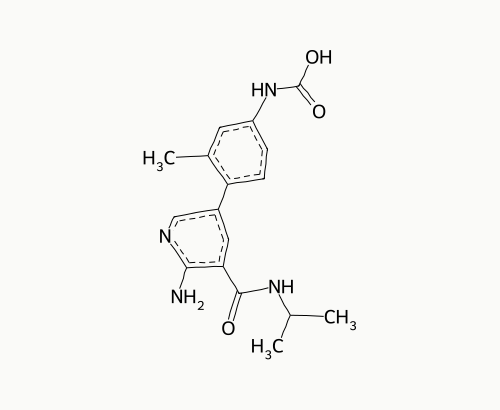 Cc1cc(NC(=O)O)ccc1-c1cnc(N)c(C(=O)NC(C)C)c1